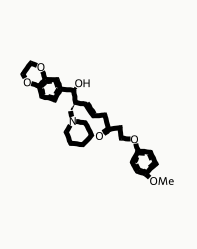 COc1ccc(OCCC(=O)C/C=C/[C@H](CN2CCCCC2)[C@H](O)c2ccc3c(c2)OCCO3)cc1